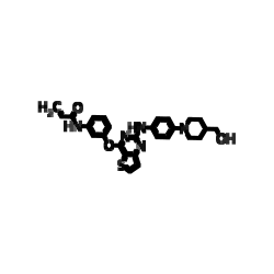 C=CC(=O)Nc1cccc(Oc2nc(Nc3ccc(N4CCC(CO)CC4)cc3)nc3ccsc23)c1